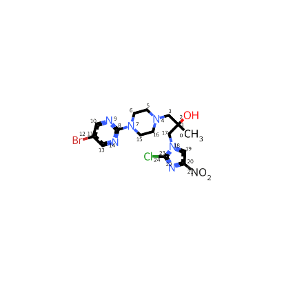 CC(O)(CN1CCN(c2ncc(Br)cn2)CC1)Cn1cc([N+](=O)[O-])nc1Cl